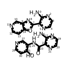 Nc1nccnc1-c1nc2cnccc2o1.Nc1nccnc1C(=O)Nc1cnccc1O